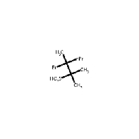 CCCC(C)(CC)C(C)(C)S(=O)(=O)O